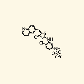 CCCS(=O)(=O)Nc1ccc(Cl)c(NC2=NC(=O)C(=Cc3ccc4ncccc4c3)S2)c1